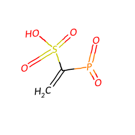 C=C(P(=O)=O)S(=O)(=O)O